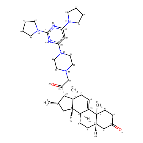 C[C@@H]1C[C@H]2[C@@H]3CC[C@H]4CC(=O)CC[C@]4(C)C3=CC[C@]2(C)[C@H]1C(=O)CN1CCN(c2cc(N3CCCC3)nc(N3CCCC3)n2)CC1